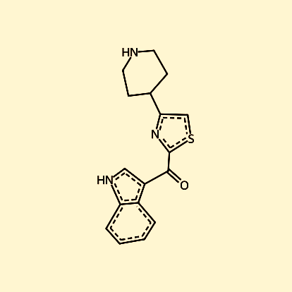 O=C(c1nc(C2CCNCC2)cs1)c1c[nH]c2ccccc12